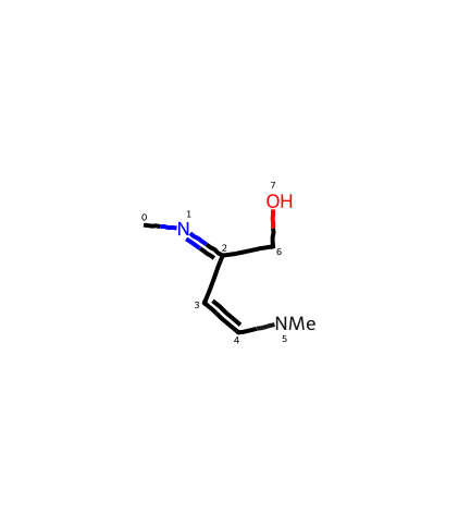 C/N=C(\C=C/NC)CO